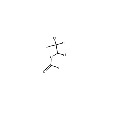 O=C(I)OC(Cl)C(Cl)(Cl)Cl